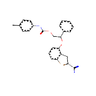 Cc1ccc(NC(=O)OCC(Oc2cccc3c2CC(C(=N)N)S3)c2ccccc2)cc1